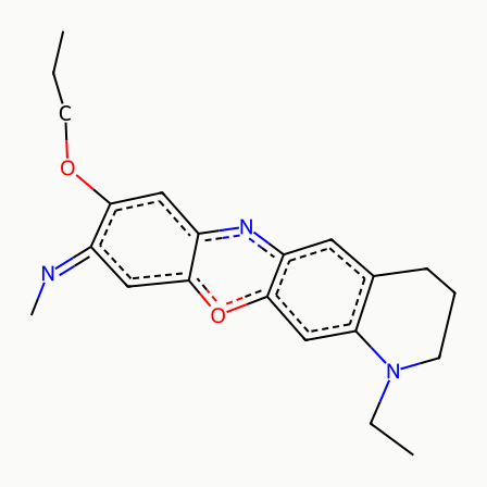 CCCOc1cc2nc3cc4c(cc3oc-2c/c1=N\C)N(CC)CCC4